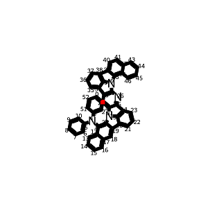 c1ccc(N(c2ccccc2)c2c3ccccc3cc3c4cccc5c6nc7c(cc6n(c23)c45)c2cccc3c4ccc5ccccc5c4n7c23)cc1